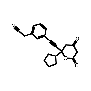 N#CCc1cccc(C#CC2(C3CCCC3)CC(=O)CC(=O)O2)c1